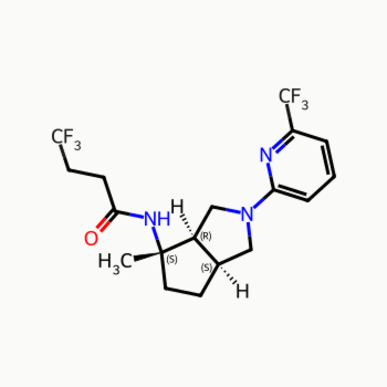 C[C@]1(NC(=O)CCC(F)(F)F)CC[C@@H]2CN(c3cccc(C(F)(F)F)n3)C[C@@H]21